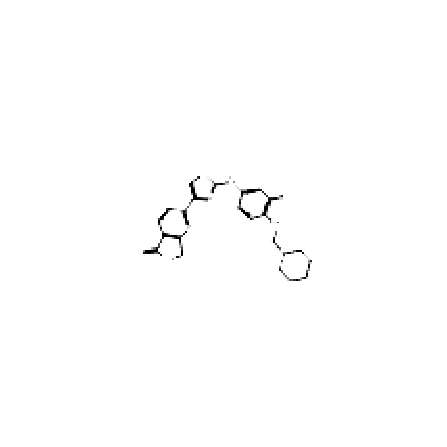 O=C1OCc2cc(-c3csc(Nc4ccc(OCC5CCCCC5)c(F)c4)n3)ccc21